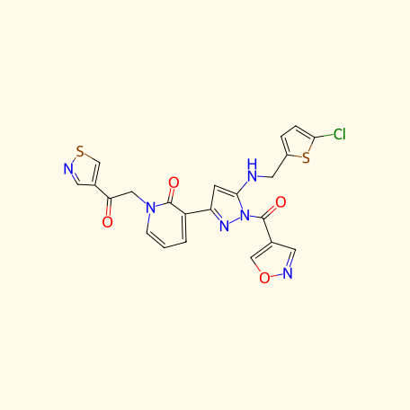 O=C(Cn1cccc(-c2cc(NCc3ccc(Cl)s3)n(C(=O)c3cnoc3)n2)c1=O)c1cnsc1